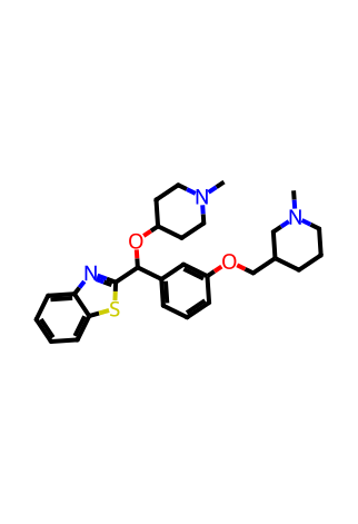 CN1CCC(OC(c2cccc(OCC3CCCN(C)C3)c2)c2nc3ccccc3s2)CC1